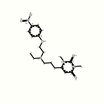 CCN(CCCc1cc(=O)n(C)c(=O)n1C)CCOc1ccc([N+](=O)[O-])cc1